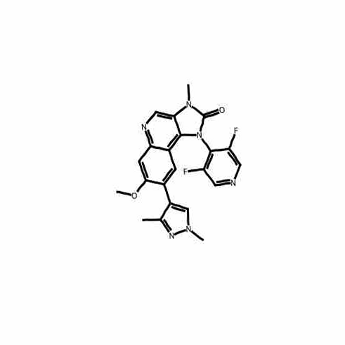 COc1cc2ncc3c(c2cc1-c1cn(C)nc1C)n(-c1c(F)cncc1F)c(=O)n3C